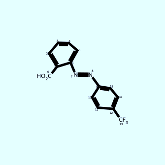 O=C(O)c1ccccc1N=Nc1ccc(C(F)(F)F)cc1